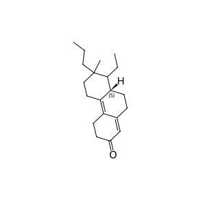 CCCC1(C)CCC2=C3CCC(=O)C=C3CC[C@H]2C1CC